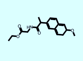 CCOC(=O)CNC(=O)C(C)c1ccc2c(c1)=CCC(OC)C=2